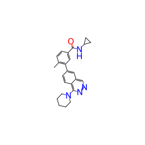 Cc1ccc(C(=O)NC2CC2)cc1-c1ccc2c(N3CCCCC3)nncc2c1